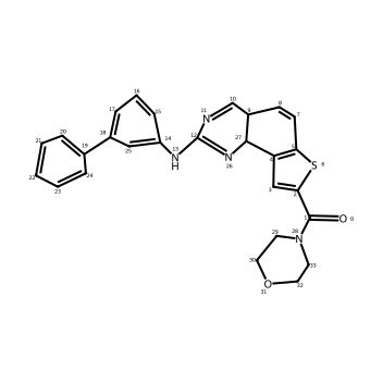 O=C(c1cc2c(s1)C=CC1C=NC(Nc3cccc(-c4ccccc4)c3)=NC21)N1CCOCC1